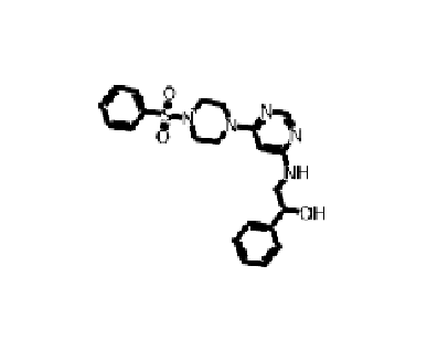 O=S(=O)(c1ccccc1)N1CCN(c2cc(NCC(O)c3ccccc3)ncn2)CC1